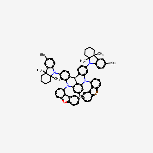 Cc1cc2c3c(c1)N(c1cccc4sc5ccccc5c14)c1cc(N4c5ccc(C(C)(C)C)cc5C5(C)CCCCC45C)ccc1B3c1ccc(N3c4ccc(C(C)(C)C)cc4C4(C)CCCCC34C)cc1N2c1cccc2oc3ccccc3c12